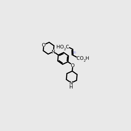 O=C(O)/C=C/C(=O)O.c1cc(N2CCOCC2)ccc1OC1CCNCC1